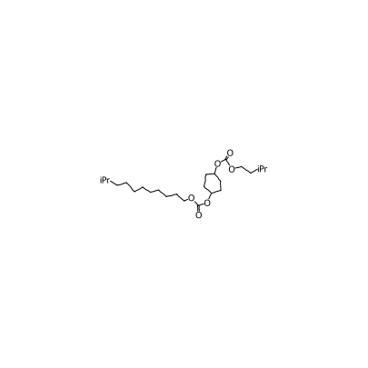 CC(C)CCCCCCCCCOC(=O)OC1CCC(OC(=O)OCCC(C)C)CC1